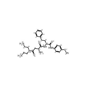 CC(C)Oc1ccc(NC(=O)[C@H](CCc2ccccc2)NC(=O)[C@@H](N)CC(=O)N(CCN)CCN)cc1